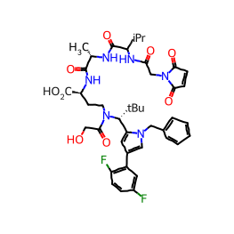 CC(C)C(NC(=O)CN1C(=O)C=CC1=O)C(=O)N[C@@H](C)C(=O)N[C@@H](CCN(C(=O)CO)[C@@H](c1cc(-c2cc(F)ccc2F)cn1Cc1ccccc1)C(C)(C)C)C(=O)O